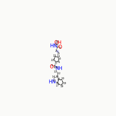 O=C(/C=C/c1ccc(C(=O)NCCC2CNc3ccccc32)cc1)NO